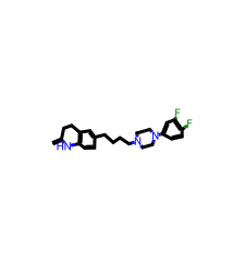 C=C1CCc2cc(CCCCN3CCN(c4ccc(F)c(F)c4)CC3)ccc2N1